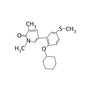 CSc1ccc(OC2CCCCC2)c(-c2cc(C)c(=O)n(C)c2)c1